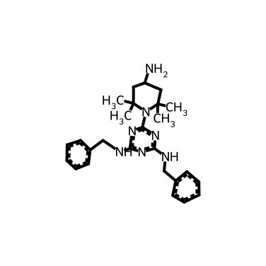 CC1(C)CC(N)CC(C)(C)N1c1nc(NCc2ccccc2)nc(NCc2ccccc2)n1